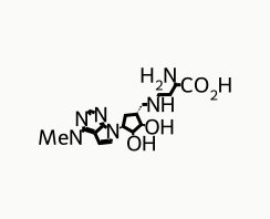 CNc1ncnc2c1ccn2[C@@H]1C[C@H](CNCCC(N)C(=O)O)[C@@H](O)[C@H]1O